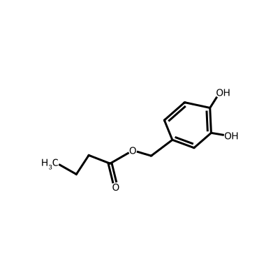 CCCC(=O)OCc1ccc(O)c(O)c1